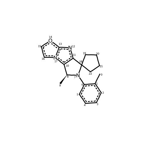 Cc1ccccc1N1[C@@H](C)c2c(nc3occn23)C12CCCC2